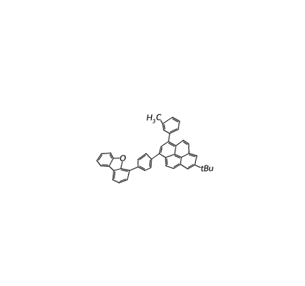 Cc1cccc(-c2cc(-c3ccc(-c4cccc5c4oc4ccccc45)cc3)c3ccc4cc(C(C)(C)C)cc5ccc2c3c45)c1